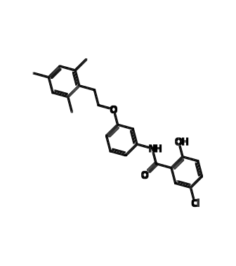 Cc1cc(C)c(CCOc2cccc(NC(=O)c3cc(Cl)ccc3O)c2)c(C)c1